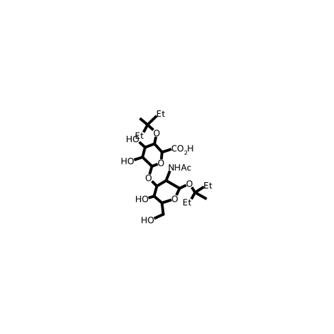 CCC(C)(CC)OC1OC(CO)C(O)C(OC2OC(C(=O)O)C(OC(C)(CC)CC)C(O)C2O)C1NC(C)=O